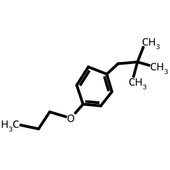 CCCOc1ccc(CC(C)(C)C)cc1